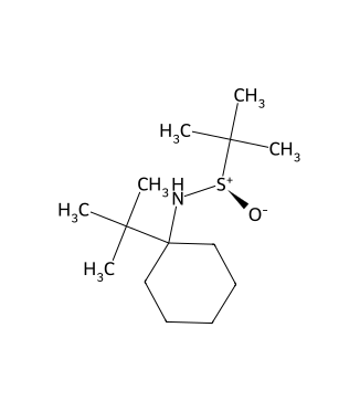 CC(C)(C)[S@@+]([O-])NC1(C(C)(C)C)CCCCC1